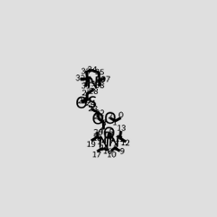 CCOC(COP(N(C(C)C)C(C)C)N(C(C)C)C(C)C)OCCSC(=O)CCN1C(C)(C)CCCC1(C)C